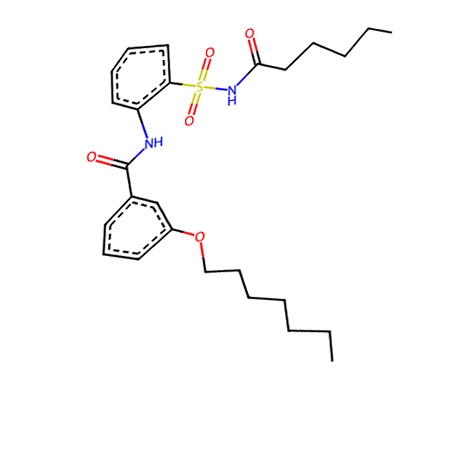 CCCCCCCOc1cccc(C(=O)Nc2ccccc2S(=O)(=O)NC(=O)CCCCC)c1